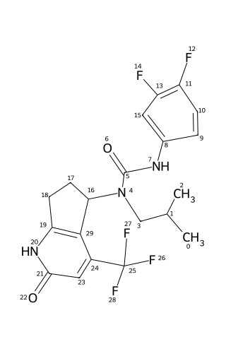 CC(C)CN(C(=O)Nc1ccc(F)c(F)c1)C1CCc2[nH]c(=O)cc(C(F)(F)F)c21